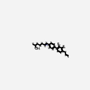 C=CCc1ccc(-c2ccc(/C=C/CCCC(C)O)cc2)c(F)c1F